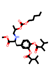 CCCCCOC(=O)OC(C)CN[C@@H](Cc1ccc(OC(=O)C(C)C(C)C)c(OC(=O)C(C)C(C)C)c1)C(=O)OC